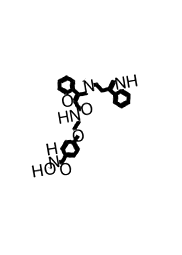 CN(CCc1c[nH]c2ccccc12)Cc1c(C(=O)NCCOc2ccc(C(=O)NO)cc2)oc2ccccc12